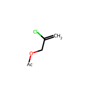 [CH2]C(=O)OCC(=C)Cl